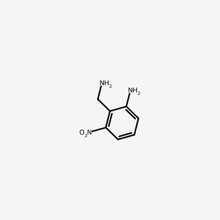 NCc1c(N)cccc1[N+](=O)[O-]